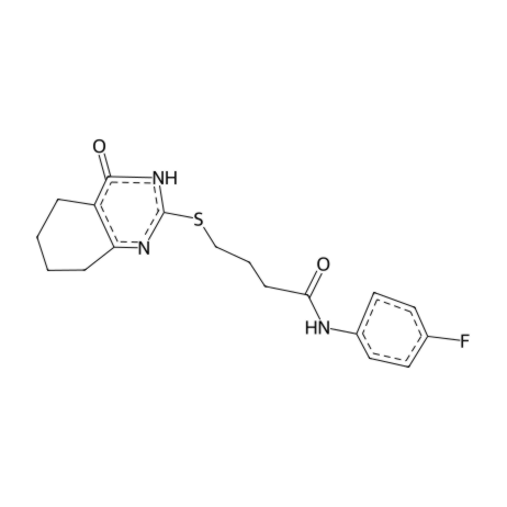 O=C(CCCSc1nc2c(c(=O)[nH]1)CCCC2)Nc1ccc(F)cc1